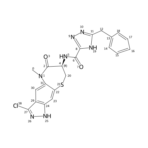 CN1C(=O)[C@@H](NC(=O)c2nnc(Cc3ccccc3)[nH]2)CSc2cc3[nH]nc(Cl)c3cc21